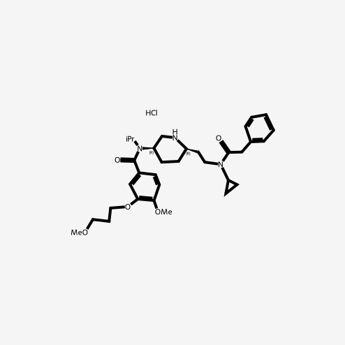 COCCCOc1cc(C(=O)N(C(C)C)[C@@H]2CC[C@H](CCN(C(=O)Cc3ccccc3)C3CC3)NC2)ccc1OC.Cl